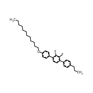 CCCCCCCCCCCCOc1ccc(-c2ccc(-c3ccc(CCC)cc3)c(F)c2F)cc1